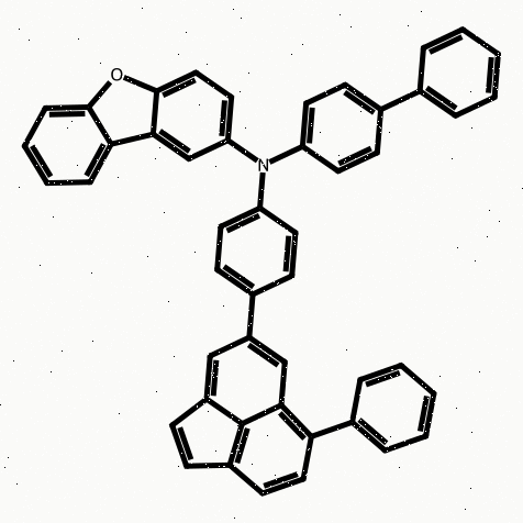 C1=Cc2cc(-c3ccc(N(c4ccc(-c5ccccc5)cc4)c4ccc5oc6ccccc6c5c4)cc3)cc3c(-c4ccccc4)ccc1c23